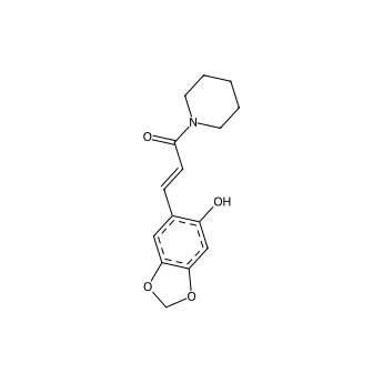 O=C(/C=C/c1cc2c(cc1O)OCO2)N1CCCCC1